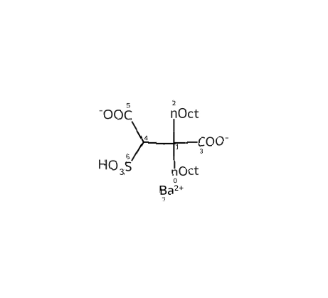 CCCCCCCCC(CCCCCCCC)(C(=O)[O-])C(C(=O)[O-])S(=O)(=O)O.[Ba+2]